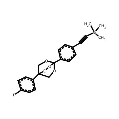 C[Si](C)(C)C#Cc1ccc(C23OCC(c4ccc(F)cc4)(CO2)CO3)cc1